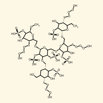 CCC1O[C@H](OCC2O[C@H](OCC3O[C@H](OCC4O[C@H](OC)C(OS(=O)(=O)O)C(O)[C@@H]4SOOOO)C(OS(=O)(=O)O)C(OC[C@H]4CC(CO)[C@@H](SOOOO)C(O)C4OS(=O)(=O)O)[C@@H]3SS(=O)(=O)O)C(OS(=O)(=O)O)C(O)[C@@H]2SOOOO)C(OS(=O)(=O)O)C(O)[C@@H]1SOOOO